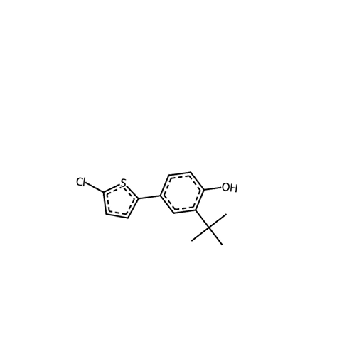 CC(C)(C)c1cc(-c2ccc(Cl)s2)ccc1O